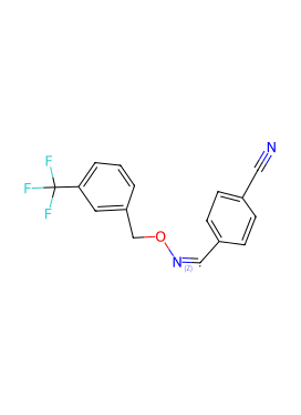 N#Cc1ccc(/[C]=N\OCc2cccc(C(F)(F)F)c2)cc1